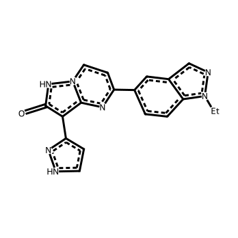 CCn1ncc2cc(-c3ccn4[nH]c(=O)c(-c5cc[nH]n5)c4n3)ccc21